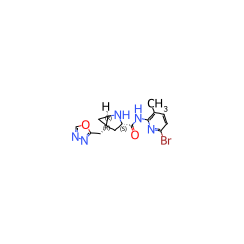 Cc1ccc(Br)nc1NC(=O)[C@@H]1C[C@@]2(Cc3nnco3)C[C@H]2N1